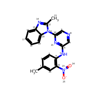 Cc1ccc(Nc2cncc(-n3c(C)nc4ccccc43)n2)c([N+](=O)[O-])c1